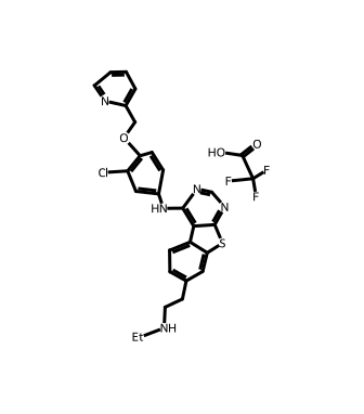 CCNCCc1ccc2c(c1)sc1ncnc(Nc3ccc(OCc4ccccn4)c(Cl)c3)c12.O=C(O)C(F)(F)F